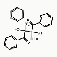 O=C(O)C(O)(C(=O)c1ccccc1)C(O)(C(=O)O)C(=O)c1ccccc1.c1ccncc1